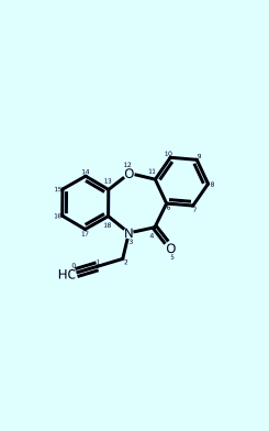 C#CCN1C(=O)c2ccccc2Oc2ccccc21